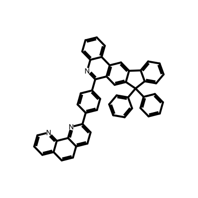 c1ccc(C2(c3ccccc3)c3ccccc3-c3cc4c(cc32)c(-c2ccc(-c3ccc5ccc6cccnc6c5n3)cc2)nc2ccccc24)cc1